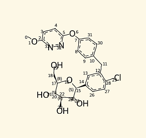 COc1ccc(Oc2ccc(Cc3cc([C@@H]4O[C@H](CO)[C@@H](O)[C@H](O)[C@H]4O)ccc3Cl)cc2)nn1